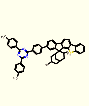 CCC1CC2CC(C)C3(c4cc(-c5ccc(-c6nc(-c7ccc(C)cc7)nc(-c7ccc(C)cc7)n6)cc5)ccc4-c4ccc5c(sc6ccccc65)c43)C(C1)C2